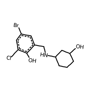 Oc1c(Cl)cc(Br)cc1CNC1CCCC(O)C1